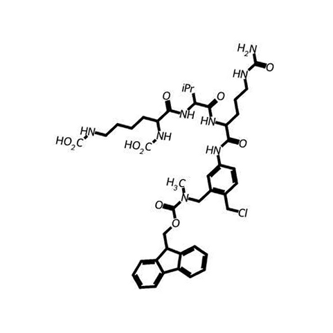 CC(C)C(NC(=O)C(CCCCNC(=O)O)NC(=O)O)C(=O)NC(CCCNC(N)=O)C(=O)Nc1ccc(CCl)c(CN(C)C(=O)OCC2c3ccccc3-c3ccccc32)c1